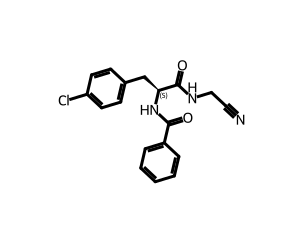 N#CCNC(=O)[C@H](Cc1ccc(Cl)cc1)NC(=O)c1ccccc1